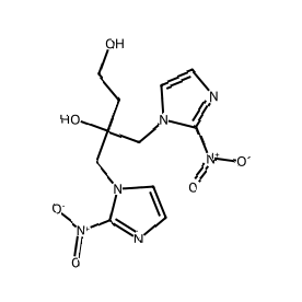 O=[N+]([O-])c1nccn1CC(O)(CCO)Cn1ccnc1[N+](=O)[O-]